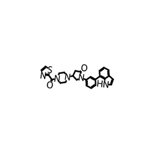 O=C(c1nccs1)N1CCN(C2CC(=O)N(c3cccc(-c4cccc5cc[nH]c45)c3)C2)CC1